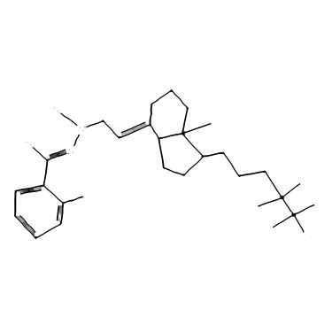 CC12CCC/C(=C\CN(N)/N=C(\N)c3ccccc3F)C1CCC2CCCC(F)(F)C(C)(C)O